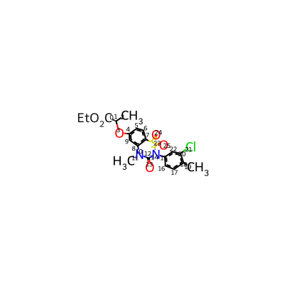 CCOC(=O)[C@@H](C)Oc1ccc2c(c1)N(C)C(=O)N(c1ccc(C)c(Cl)c1)S2(=O)=O